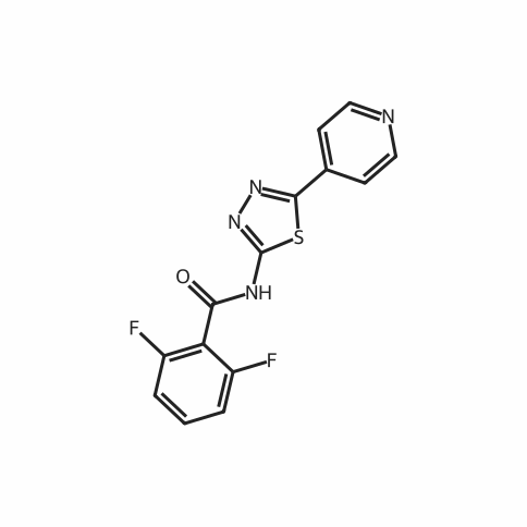 O=C(Nc1nnc(-c2ccncc2)s1)c1c(F)cccc1F